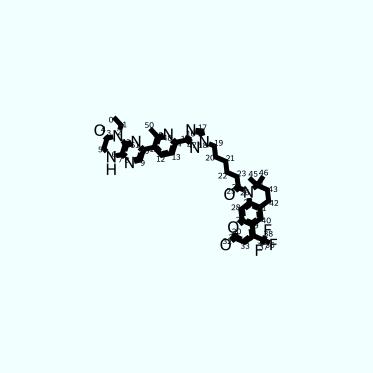 CCN1C(=O)CNc2ncc(-c3ccc(-c4ncn(CCCCCC(=O)N5c6cc7oc(=O)cc(C(F)(F)F)c7cc6CCC5(C)C)n4)nc3C)nc21